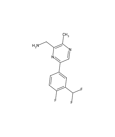 Cc1ncc(-c2ccc(F)c(C(F)F)c2)nc1CN